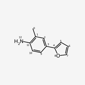 Cc1cc(-c2ccco2)ccc1N